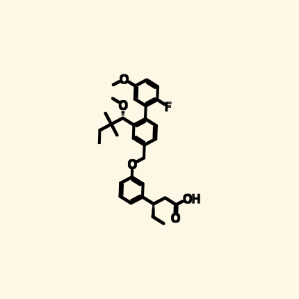 CC[C@H](CC(=O)O)c1cccc(OCc2ccc(-c3cc(OC)ccc3F)c([C@@H](OC)C(C)(C)CC)c2)c1